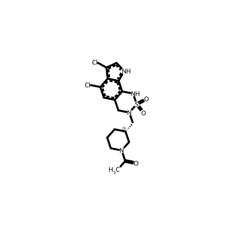 CC(=O)N1CCC[C@H](CN2Cc3cc(Cl)c4c(Cl)c[nH]c4c3NS2(=O)=O)C1